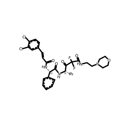 CC(C)[C@H](NC(=O)[C@@H](NC(=O)C=Cc1ccc(Cl)c(Cl)c1)c1ccccc1)C(=O)C(F)(F)C(=O)NCCN1CCOCC1